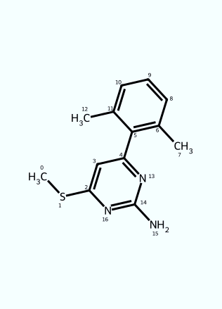 CSc1cc(-c2c(C)cccc2C)nc(N)n1